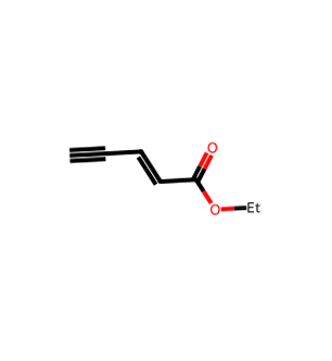 C#CC=CC(=O)OCC